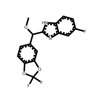 COC(c1ccc2c(c1)OC(F)(F)O2)c1nc2cc(F)ccc2[nH]1